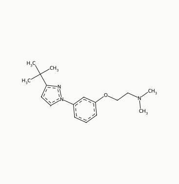 CN(C)CCOc1cccc(-n2[c]cc(C(C)(C)C)n2)c1